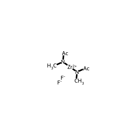 CC(=O)[N](C)[Zr+2][N](C)C(C)=O.[F-].[F-]